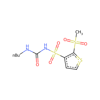 CCCCNC(=O)NS(=O)(=O)c1ccsc1S(C)(=O)=O